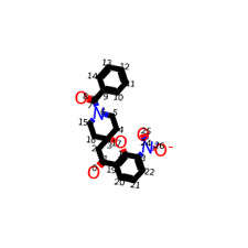 O=C1CC2(CCN(C(=O)c3ccccc3)CC2)Oc2c1cccc2[N+](=O)[O-]